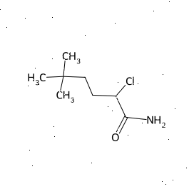 CC(C)(C)CCC(Cl)C(N)=O